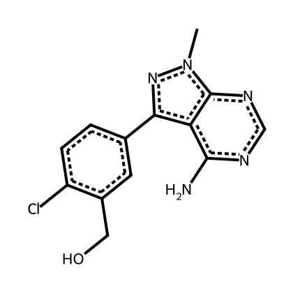 Cn1nc(-c2ccc(Cl)c(CO)c2)c2c(N)ncnc21